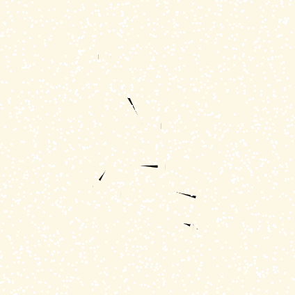 C=CCC1=C[C@@]2(C)C(=C[C@H](O)[C@H]3[C@@H]4C[C@@H](F)[C@H](N)[C@@]4(C)CC[C@@H]32)C=C1O